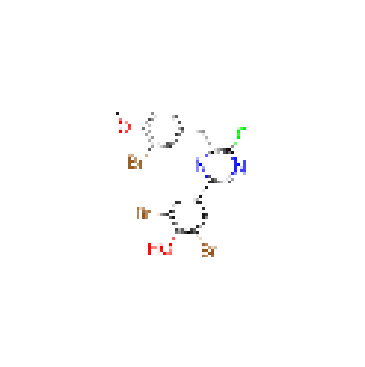 COc1ccc(Cc2nc(-c3cc(Br)c(O)c(Br)c3)cnc2Cl)cc1Br